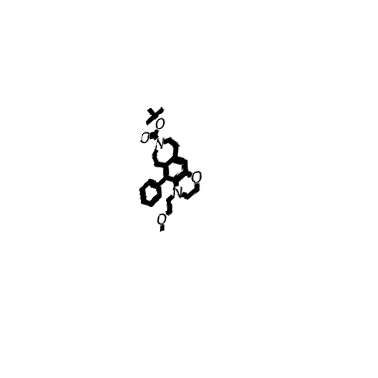 COCCN1CCOc2cc3c(c(-c4ccccc4)c21)CCN(C(=O)OC(C)(C)C)CC3